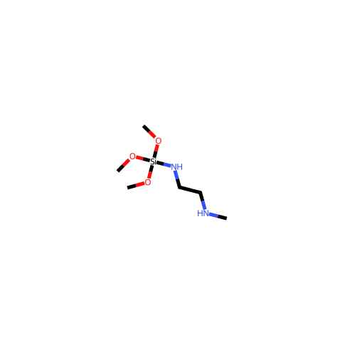 CNCCN[Si](OC)(OC)OC